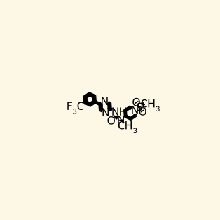 CN(C(=O)Nc1cnc(-c2cccc(C(F)(F)F)c2)cn1)C1CCN(S(C)(=O)=O)CC1